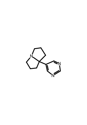 c1ncc(C23CCCN2CCC3)cn1